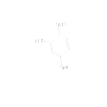 CC(=O)Nc1ccc(N)cc1N